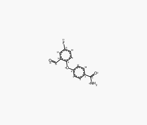 NC(=O)c1ccc(Oc2ccc(F)cc2C=O)cc1